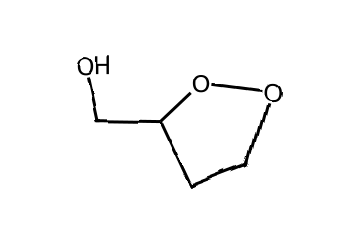 OCC1CCOO1